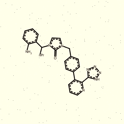 CCCC(c1ccccc1N)n1ccn(Cc2ccc(-c3cccnc3-c3nnn[nH]3)cc2)c1=O